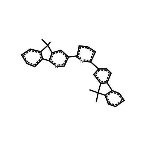 CC1(C)c2ccccc2-c2ccc(-c3cccc(-c4cnc5c(c4)C(C)(C)c4ccccc4-5)n3)cc21